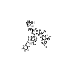 CNC(=O)[C@H](CCCc1ccccc1)NC(=O)C1CN(C(=O)Cc2nnn[nH]2)CC2CN(C(=O)c3ccc(OC(C)C)c(OC)c3)CC21